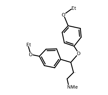 CCOc1ccc(OC([CH]CNC)c2ccc(OCC)cc2)cc1